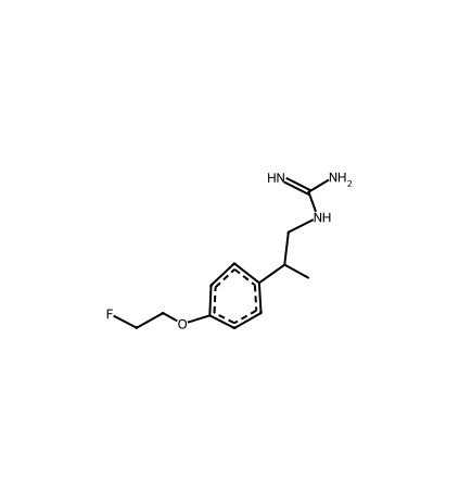 CC(CNC(=N)N)c1ccc(OCCF)cc1